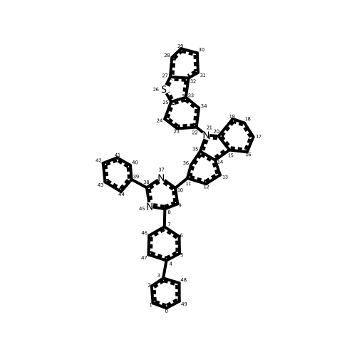 c1ccc(-c2ccc(-c3cc(-c4ccc5c6ccccc6n(-c6ccc7sc8ccccc8c7c6)c5c4)nc(-c4ccccc4)n3)cc2)cc1